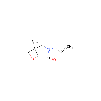 C=CCN(C=O)CC1(C)COC1